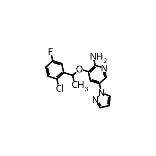 CC(Oc1cc(-n2cccn2)cnc1N)c1cc(F)ccc1Cl